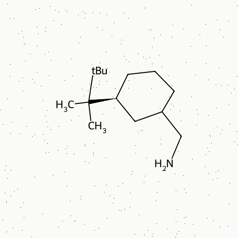 CC(C)(C)C(C)(C)[C@H]1CCCC(CN)C1